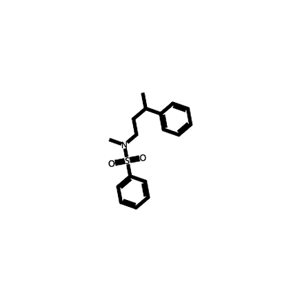 CC(CCN(C)S(=O)(=O)c1ccccc1)c1ccccc1